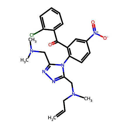 C=CCN(C)Cc1nnc(CN(C)C)n1-c1ccc([N+](=O)[O-])cc1C(=O)c1ccccc1Cl